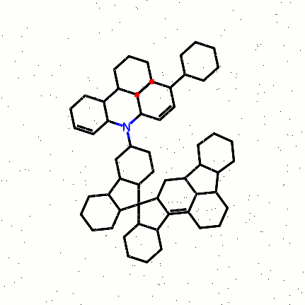 C1=CC(N(C2C=CC(C3CCCCC3)CC2)C2CCC3C(C2)C2CCCCC2C32C3CC4C5CCCCC5C5CCCC(=C3C3CCCCC32)C54)C(C2CCCCC2)CC1